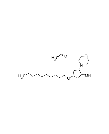 CC=O.CCCCCCCCCCO[C@@H]1C[C@H](O)[C@@H](N2CCOCC2)C1